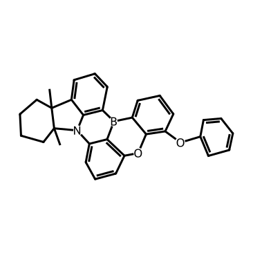 CC12CCCCC1(C)N1c3cccc4c3B(c3cccc(Oc5ccccc5)c3O4)c3cccc2c31